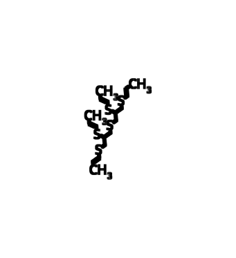 CC=CSCC(CSCC(CSC=CC)SC=CC)SC=CC